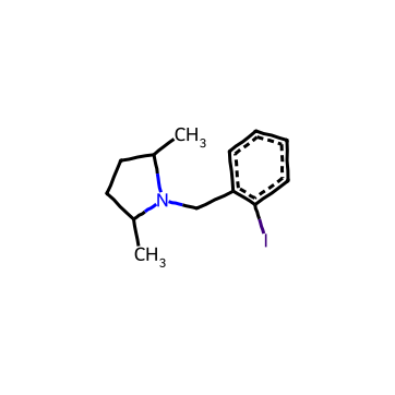 CC1CCC(C)N1Cc1ccccc1I